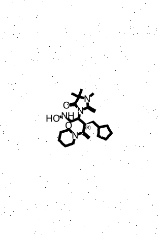 C=C([C@H](CC1CCCC1)C(C(=O)NO)N1C(=C)N(C)C(C)(C)C1=O)N1CCCCC1